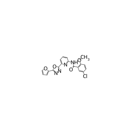 COc1ccc(Cl)cc1C(=O)Nc1cccc(-c2nnc(-c3ccco3)o2)n1